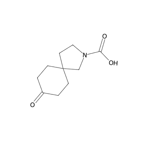 O=C1CCC2(CC1)CCN(C(=O)O)C2